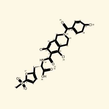 CS(=O)(=O)c1ccc(C[C@H](NC(=O)c2c(Cl)cc3c(c2Cl)CCN(C(=O)C2=CCC(Cl)C=C2)C3)C(=O)O)o1